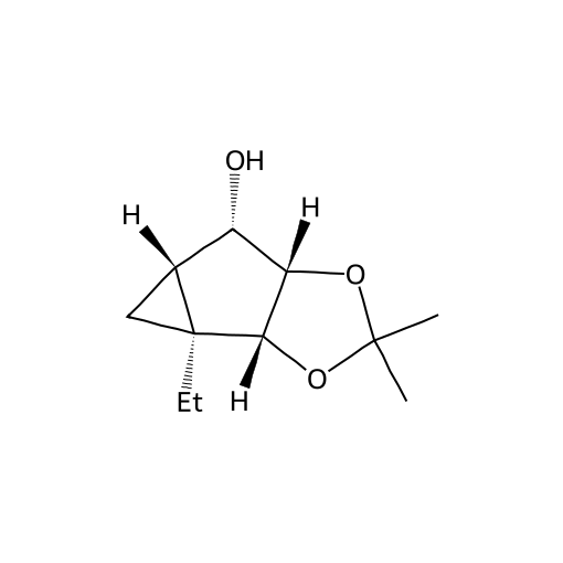 CC[C@]12C[C@@H]1[C@H](O)[C@@H]1OC(C)(C)O[C@@H]12